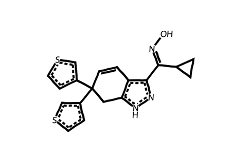 ON=C(c1n[nH]c2c1C=CC(c1ccsc1)(c1ccsc1)C2)C1CC1